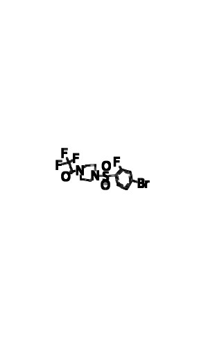 O=C(N1CCN(S(=O)(=O)c2ccc(Br)cc2F)CC1)C(F)(F)F